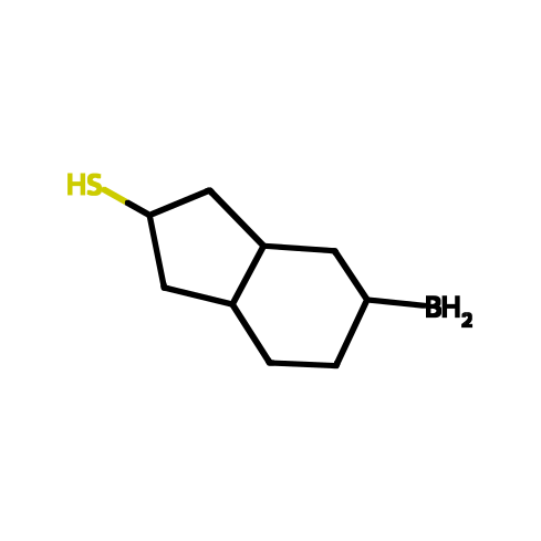 BC1CCC2CC(S)CC2C1